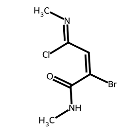 C/N=C(Cl)/C=C(/Br)C(=O)NC